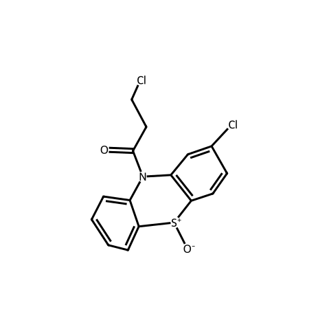 O=C(CCCl)N1c2ccccc2[S+]([O-])c2ccc(Cl)cc21